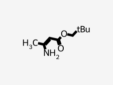 CC(N)=CC(=O)OCC(C)(C)C